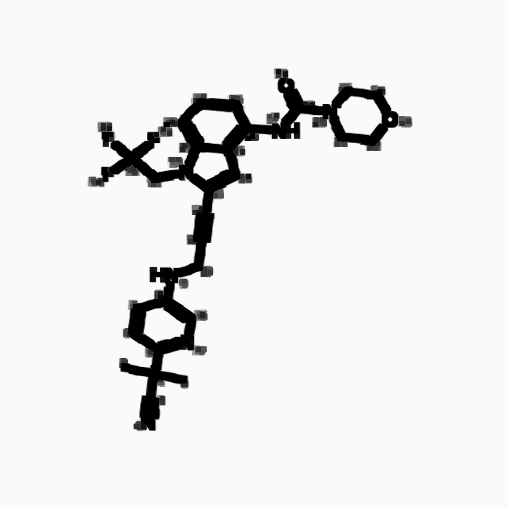 CC(C)(C#N)c1ccc(NCC#Cc2cc3c(NC(=O)N4CCOCC4)cccc3n2CC(F)(F)F)cn1